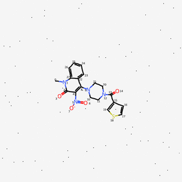 Cn1c(=O)c([N+](=O)[O-])c(N2CCN(C(=O)c3ccsc3)CC2)c2ccccc21